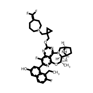 CCc1c(F)ccc2cc(O)cc(-c3nc4c5c(nc(OCC6(CN7CCCC(=C(F)F)CC7)CC6)nc5c3F)N3C[C@H]5CC[C@H](N5)[C@H]3[C@H](C)O4)c12